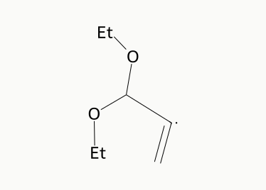 C=[C]C(OCC)OCC